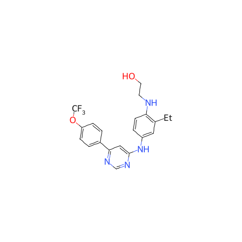 CCc1cc(Nc2cc(-c3ccc(OC(F)(F)F)cc3)ncn2)ccc1NCCO